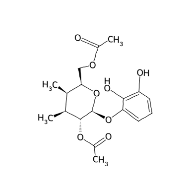 CC(=O)OC[C@H]1O[C@@H](Oc2cccc(O)c2O)[C@H](OC(C)=O)[C@@H](C)[C@H]1C